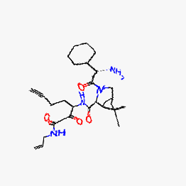 C#CCCC(NC(=O)[C@@H]1C2C(CN1C(=O)[C@@H](N)C1CCCCC1)C2(C)C)C(=O)C(=O)NCC=C